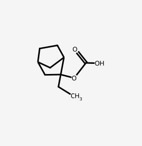 CCC1(OC(=O)O)CC2CCC1C2